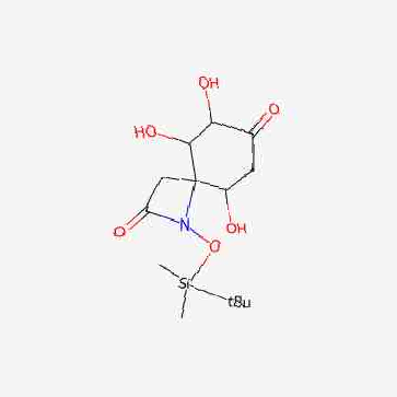 CC(C)(C)[Si](C)(C)ON1C(=O)CC12C(O)CC(=O)C(O)C2O